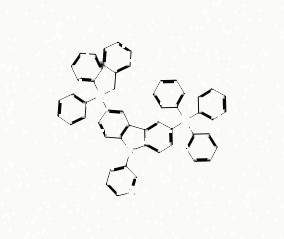 c1ccc(CS(c2ccccc2)(c2ccccc2)c2ccc3c(c2)c2cc(S(c4ccccc4)(c4ccccc4)c4ccccc4)ccc2n3-c2cccnc2)cc1